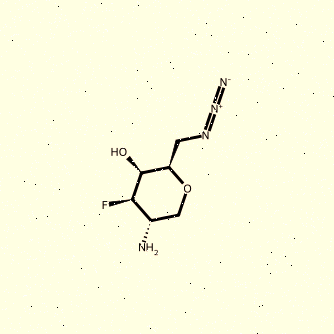 [N-]=[N+]=NC[C@H]1OC[C@H](N)[C@@H](F)[C@H]1O